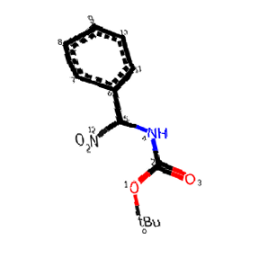 CC(C)(C)OC(=O)NC(c1ccccc1)[N+](=O)[O-]